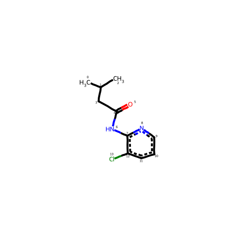 CC(C)CC(=O)Nc1ncccc1Cl